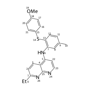 CCc1ccc2c(Nc3cc(C)ccc3Sc3ccc(OC)cc3)ccnc2n1